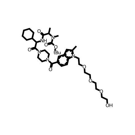 Cc1cc2cc(C(=O)N3CCN(C(=O)C(NC(=O)C(C)N(C)C(=O)OC(C)(C)C)C4CCCCC4)CC3)ccc2n1CCOCCOCCOCCO